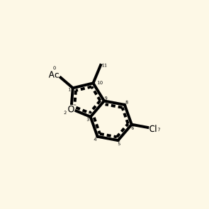 CC(=O)c1oc2ccc(Cl)cc2c1C